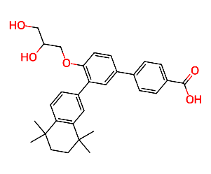 CC1(C)CCC(C)(C)c2cc(-c3cc(-c4ccc(C(=O)O)cc4)ccc3OCC(O)CO)ccc21